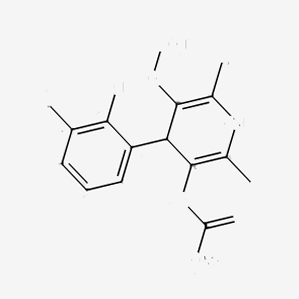 CCOC(=O)OC1=C(C)NC(C)=C(OC(=O)OC)C1c1cccc(Cl)c1Cl